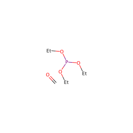 C=O.CCOP(OCC)OCC